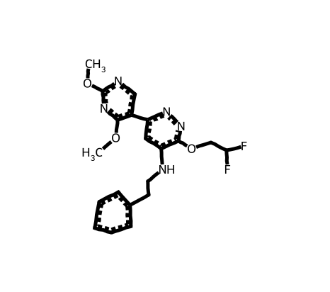 COc1ncc(-c2cc(NCCc3ccccc3)c(OCC(F)F)nn2)c(OC)n1